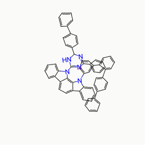 c1ccc(C2=NC(c3ccc(-c4ccccc4)cc3)NC(n3c4ccccc4c4ccc5c6ccccc6n(-c6cccc(-c7ccccc7-c7ccc(-c8ccccc8)cc7)c6)c5c43)=N2)cc1